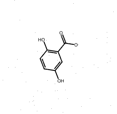 [O]C(=O)c1cc(O)ccc1O